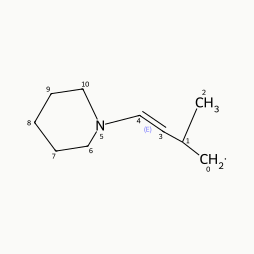 [CH2]C(C)/C=C/N1CCCCC1